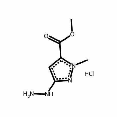 COC(=O)c1cc(NN)nn1C.Cl